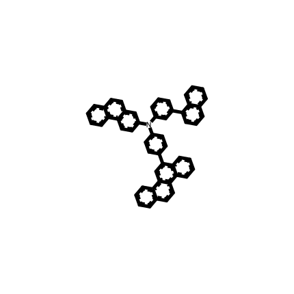 c1cc(-c2cccc3ccccc23)cc(N(c2ccc(-c3cc4c5ccccc5ccc4c4ccccc34)cc2)c2ccc3c(ccc4ccccc43)c2)c1